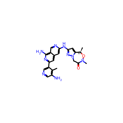 Cc1c(N)cncc1-c1cc2cc(Nc3cc4n(n3)CC(=O)N(C)O[C@@H]4C)ncc2c(N)n1